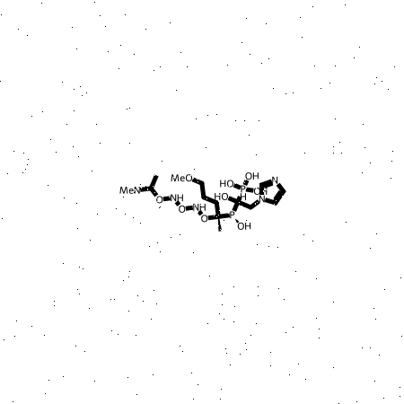 CNC(C)ONONO[C@](C)(CCCOC)[P@@](O)C(O)(Cn1ccnc1)[PH](O)(O)O